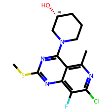 CSc1nc(N2CCC[C@@H](O)C2)c2c(C)nc(Cl)c(F)c2n1